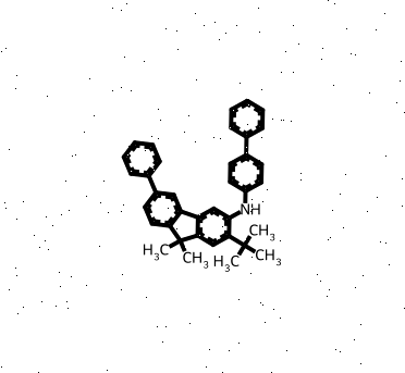 CC(C)(C)c1cc2c(cc1Nc1ccc(-c3ccccc3)cc1)-c1cc(-c3ccccc3)ccc1C2(C)C